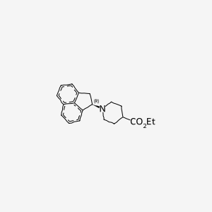 CCOC(=O)C1CCN([C@@H]2Cc3cccc4cccc2c34)CC1